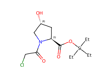 CC[Si](CC)(CC)OC(=O)[C@@H]1C[C@@H](O)CN1C(=O)CCl